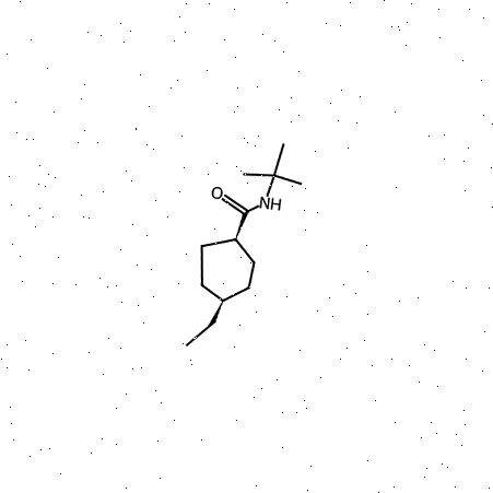 CC[C@H]1CC[C@@H](C(=O)NC(C)(C)C)CC1